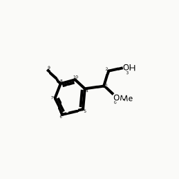 COC(CO)c1cccc(C)c1